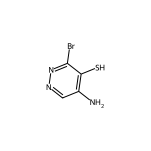 Nc1cnnc(Br)c1S